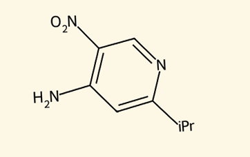 CC(C)c1cc(N)c([N+](=O)[O-])cn1